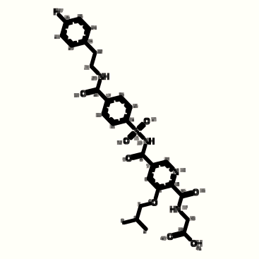 CC(C)COc1cc(C(=O)NS(=O)(=O)c2ccc(C(=O)NCCc3ccc(F)cc3)cc2)cnc1C(=O)NCC(=O)O